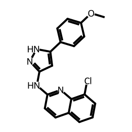 COc1ccc(-c2cc(Nc3ccc4cccc(Cl)c4n3)n[nH]2)cc1